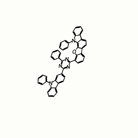 c1ccc(-c2nc(-c3ccc4c5ccccc5n(-c5ccccc5)c4c3)nc(-c3cccc4c3oc3c4ccc4c5ccccc5n(-c5ccccc5)c43)n2)cc1